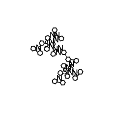 c1ccc([Si](c2ccccc2)(c2cccc(-n3c4ccccc4c4ccccc43)c2)c2nc(-n3c4ccccc4c4ccccc43)cc(-n3c4ccccc4c4cc(-c5ccc6nc7n(-c8cc(-n9c%10ccccc%10n%10c%11ccccc%11nc9%10)nc([Si](c9ccccc9)(c9ccccc9)c9cccc(-n%10c%11ccccc%11c%11ccccc%11%10)c9)n8)c8ccccc8n7c6c5)ccc43)n2)cc1